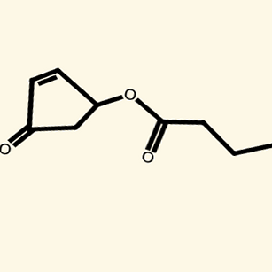 CCCC(=O)OC1C=CC(=O)C1